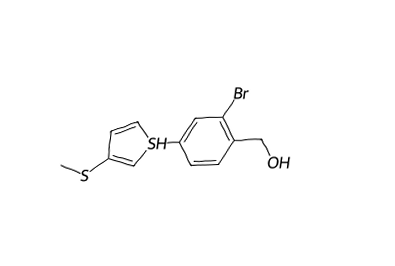 CSC1=C[SH](c2ccc(CO)c(Br)c2)C=C1